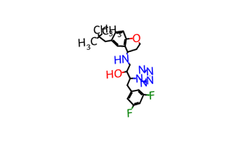 CC(C)(C)Cc1ccc2c(c1)C(NCC(O)C(Cc1cc(F)cc(F)c1)n1nnnn1)CCO2